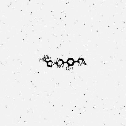 Cn1ccc(-c2ccc(-c3cnc(N4CCC(NC(C)(C)C)C4)nn3)c(O)c2)n1